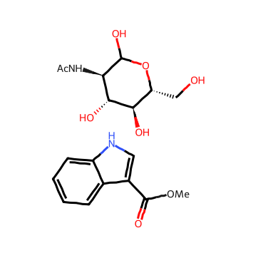 CC(=O)N[C@H]1C(O)O[C@H](CO)[C@@H](O)[C@@H]1O.COC(=O)c1c[nH]c2ccccc12